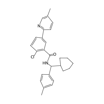 Cc1ccc(C(NC(=O)c2cc(-c3ccc(C)cn3)ccc2Cl)C2CCCCC2)cc1